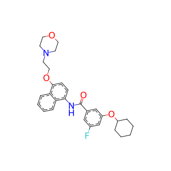 O=C(Nc1ccc(OCCN2CCOCC2)c2ccccc12)c1cc(F)cc(OC2CCCCC2)c1